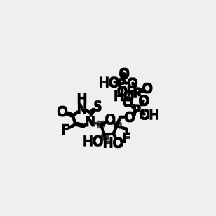 O=c1[nH]c(=S)n([C@@H]2O[C@](CF)(COP(=O)(O)OP(=O)(O)OP(=O)(O)O)C(O)[C@@H]2O)cc1F